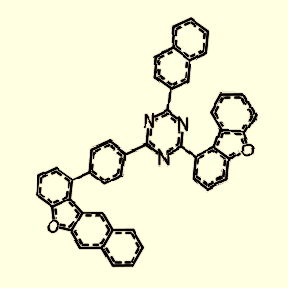 c1ccc2cc(-c3nc(-c4ccc(-c5cccc6oc7cc8ccccc8cc7c56)cc4)nc(-c4cccc5oc6ccccc6c45)n3)ccc2c1